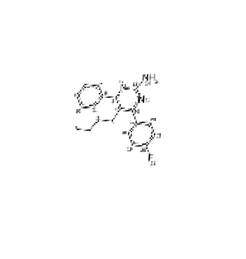 CCCCc1c(-c2ccccc2)nc(N)nc1-c1ccc(F)cc1